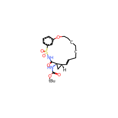 CC(C)(C)OC(=O)N[C@]12C[C@H]1/C=C/CCCCCCOc1cccc(c1)S(=O)(=O)NC2=O